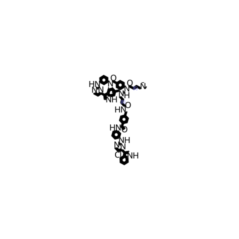 CN(C)C/C=C/C(=O)Nc1ccc(C(=O)Nc2cccc(Nc3nccc(-c4c[nH]c5cc(CN(C)C/C=C/C(=O)NCc6ccc(C(=O)Nc7cccc(Nc8ncc(Cl)c(-c9c[nH]c%10ccccc9%10)n8)c7)cc6)ccc45)n3)c2)cc1